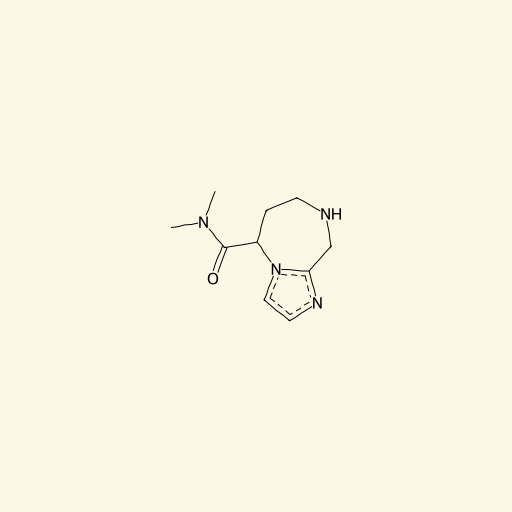 CN(C)C(=O)C1CCNCc2nccn21